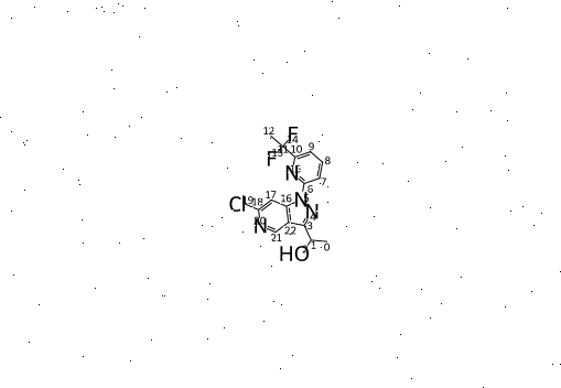 CC(O)c1nn(-c2cccc(C(C)(F)F)n2)c2cc(Cl)ncc12